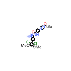 COc1cc(OC)c(Cl)c(-c2ccc3c(NC(=O)c4ccc(N5CCN(C(=O)C(C)(C)C)CC5)cc4)n[nH]c3c2)c1Cl